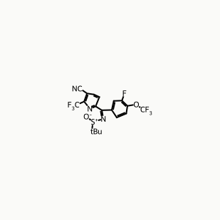 CC(C)(C)[S+]([O-])N=C(c1ccc(OC(F)(F)F)c(F)c1)c1ccc(C#N)c(C(F)(F)F)n1